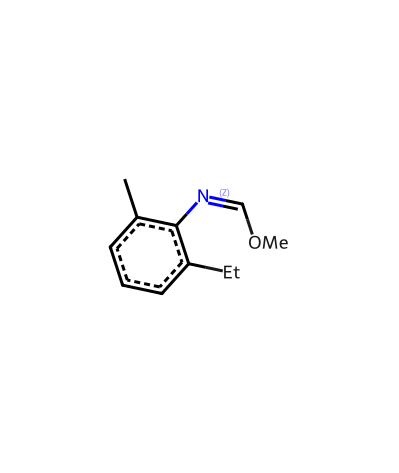 CCc1cccc(C)c1/N=C\OC